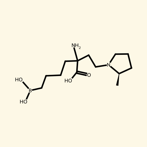 C[C@@H]1CCCN1CCC(N)(CCCCB(O)O)C(=O)O